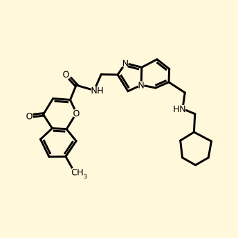 Cc1ccc2c(=O)cc(C(=O)NCc3cn4cc(CNCC5CCCCC5)ccc4n3)oc2c1